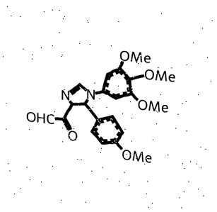 COc1ccc(C2C(C(=O)C=O)N=CN2c2cc(OC)c(OC)c(OC)c2)cc1